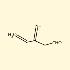 C=CC(=N)CC=O